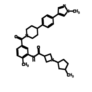 Cc1ccc(C(=O)N2CCC(c3ccc(-c4cnn(C)c4)cc3)CC2)cc1NC(=O)C1CN(C2CCC(C)C2)C1